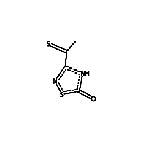 CC(=S)c1nsc(=O)[nH]1